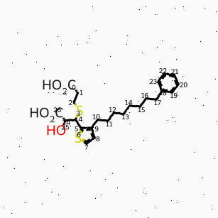 O=C(O)CCSC(c1sccc1CCCCCCCCc1ccccc1)C(O)C(=O)O